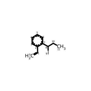 C=Cc1ccccc1C(I)CC